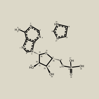 Nc1ncnc2c1ncn2[C@@H]1O[C@H](COP(=O)(O)O)[C@@H](O)[C@H]1O.c1c[nH]cn1